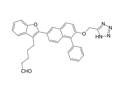 O=CCCCCc1c(-c2ccc3c(-c4ccccc4)c(OCc4nnn[nH]4)ccc3c2)oc2ccccc12